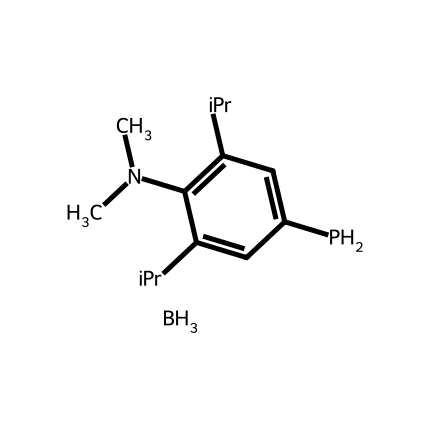 B.CC(C)c1cc(P)cc(C(C)C)c1N(C)C